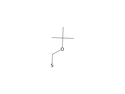 CC(C)(C)OC[S]